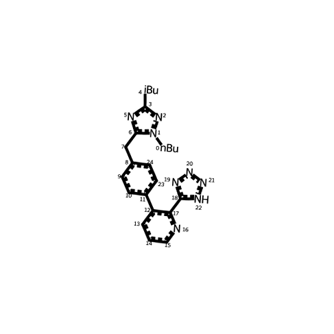 CCCCn1nc(C(C)CC)nc1Cc1ccc(-c2cccnc2-c2nnn[nH]2)cc1